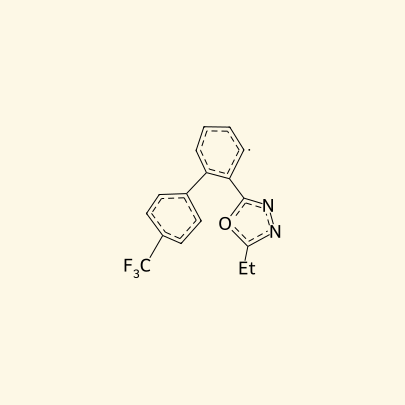 CCc1nnc(-c2[c]cccc2-c2ccc(C(F)(F)F)cc2)o1